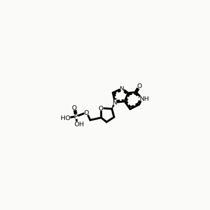 O=c1[nH]ccc2c1ncn2[C@H]1CCC(COP(=O)(O)O)O1